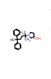 CC(C)(CCC(C#N)(c1ccccc1)c1ccccc1)N1CC[C@H](O)C1